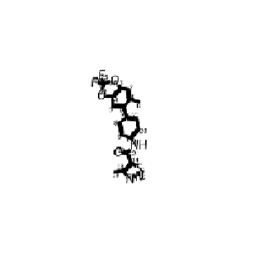 Cc1cc2c(cc1-c1ccc(NC(=O)c3snnc3C)cc1)OC(F)(F)O2